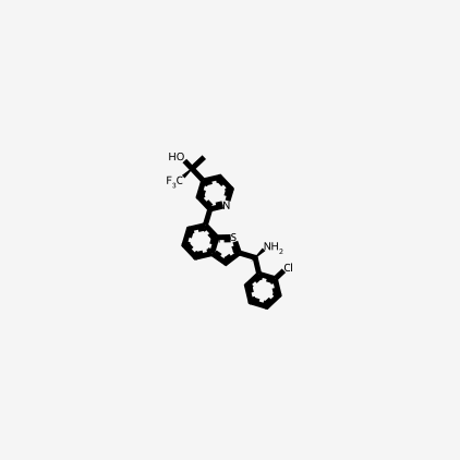 C[C@@](O)(c1ccnc(-c2cccc3cc([C@@H](N)c4ccccc4Cl)sc23)c1)C(F)(F)F